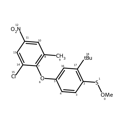 COSc1ccc(Oc2c(C)cc([N+](=O)[O-])cc2Cl)cc1C(C)(C)C